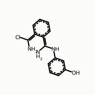 N/C(Cl)=c1/cccc/c1=C(/N)Nc1cccc(O)c1